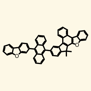 CC1(C)c2ccc(-c3c4ccccc4c(-c4ccc5c(c4)oc4ccccc45)c4ccccc34)cc2-c2c1c1oc3ccccc3c1c1ccccc21